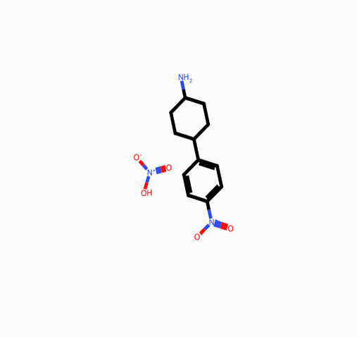 NC1CCC(c2ccc([N+](=O)[O-])cc2)CC1.O=[N+]([O-])O